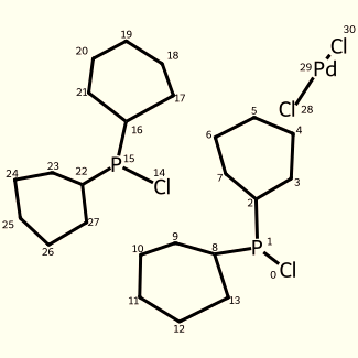 ClP(C1CCCCC1)C1CCCCC1.ClP(C1CCCCC1)C1CCCCC1.[Cl][Pd][Cl]